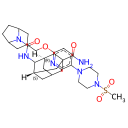 CS(=O)(=O)N1CCN(c2ccc(OCC3CC4CCC(C3)N4C(=O)NC3[C@@H]4CC5C[C@H]3CC(C(N)=O)(C5)C4)nc2)CC1